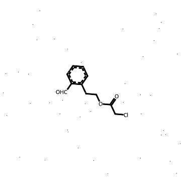 O=[C]c1ccccc1CCOC(=O)CCl